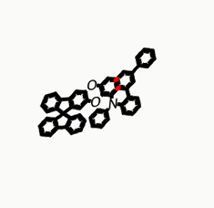 c1ccc(-c2cccc(-c3ccccc3N(c3ccccc3)c3cccc4c3Oc3cc5c(cc3O4)-c3ccccc3C53c4ccccc4-c4ccccc43)c2)cc1